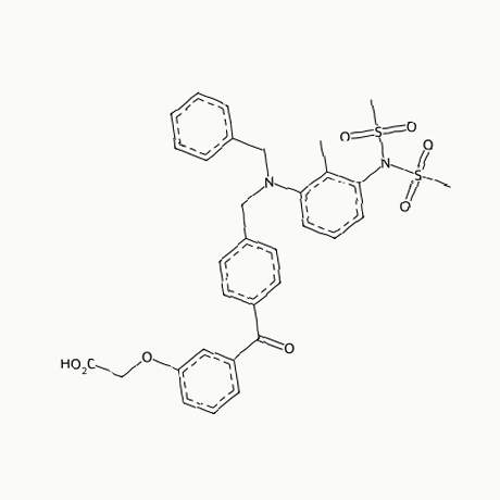 Cc1c(N(Cc2ccccc2)Cc2ccc(C(=O)c3cccc(OCC(=O)O)c3)cc2)cccc1N(S(C)(=O)=O)S(C)(=O)=O